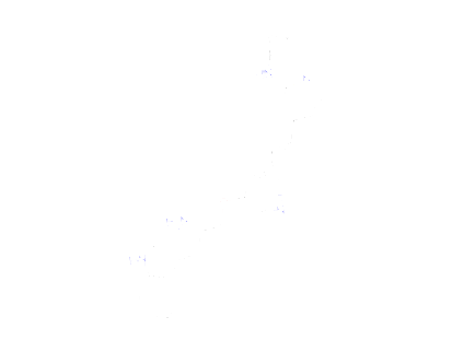 N[C@H](COc1cncc(C=Cc2ccnc(NC3CC3)c2)c1)Cc1c[nH]c2ccccc12